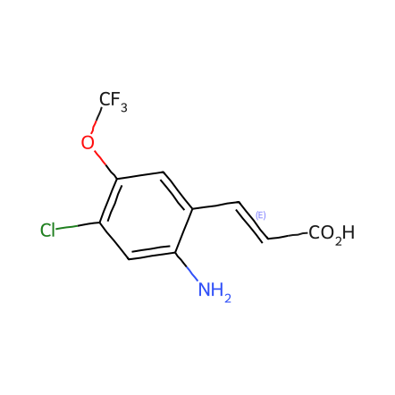 Nc1cc(Cl)c(OC(F)(F)F)cc1/C=C/C(=O)O